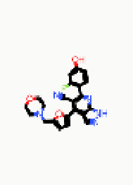 N#Cc1c(-c2ccc(O)cc2F)nc2[nH]ncc2c1-c1ccc(CN2CCOCC2)o1